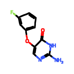 Nc1ncc(Oc2cccc(F)c2)c(=O)[nH]1